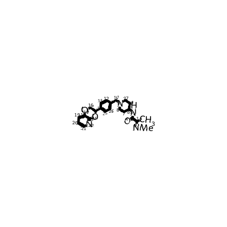 CNC(C)C(=O)NC1CCN(Cc2ccc(C3COc4cccnc4O3)cc2)CC1